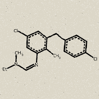 CCN(C)/C=N\c1cc(Cl)cc(Cc2ccc(Cl)cc2)c1C